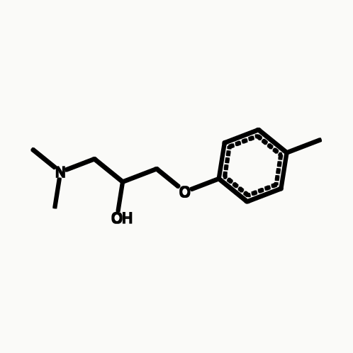 Cc1ccc(OCC(O)CN(C)C)cc1